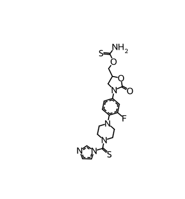 NC(=S)OCC1CN(c2ccc(N3CCN(C(=S)n4ccnc4)CC3)c(F)c2)C(=O)O1